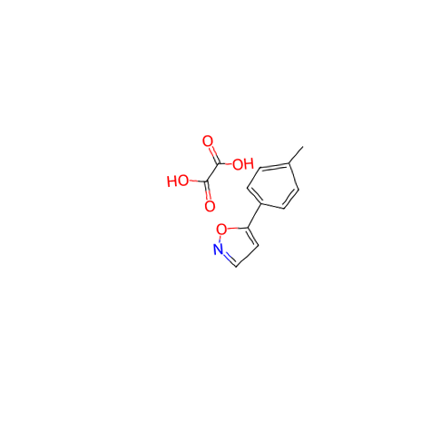 Cc1ccc(-c2ccno2)cc1.O=C(O)C(=O)O